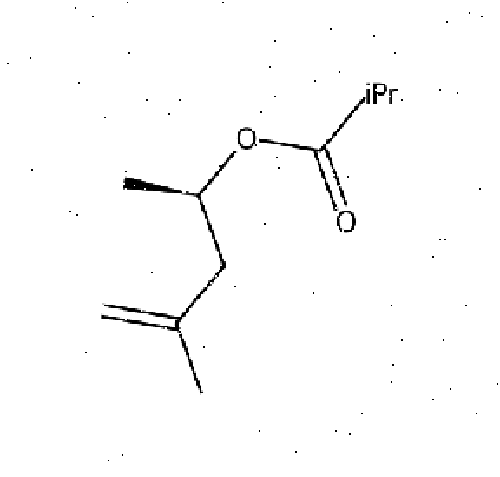 C=C(C)C[C@@H](C)OC(=O)C(C)C